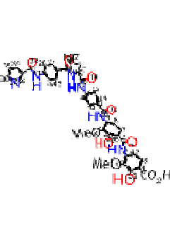 COc1c(NC(=O)c2ccc(NC(=O)c3ccc(NC(=O)[C@H](CC#N)NC(=O)c4ccc(NC(=O)c5cccnc5)cc4)cc3)c(OC)c2O)ccc(C(=O)O)c1O